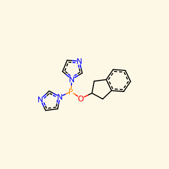 c1ccc2c(c1)CC(OP(n1ccnc1)n1ccnc1)C2